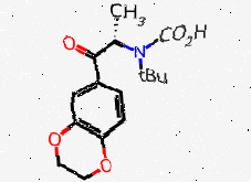 C[C@@H](C(=O)c1ccc2c(c1)OCCO2)N(C(=O)O)C(C)(C)C